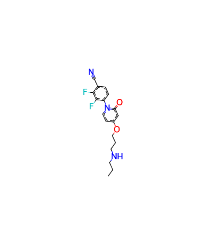 CCCNCCCOc1ccn(-c2ccc(C#N)c(F)c2F)c(=O)c1